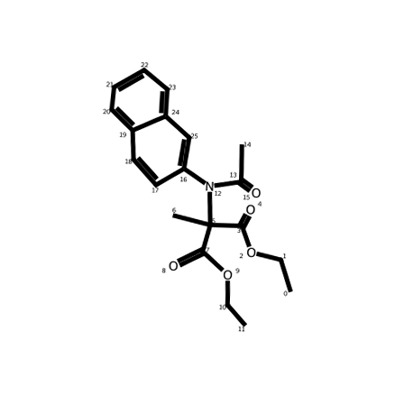 CCOC(=O)C(C)(C(=O)OCC)N(C(C)=O)c1ccc2ccccc2c1